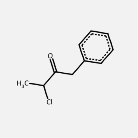 CC(Cl)C(=O)Cc1ccccc1